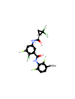 CNc1ccc(F)c(NC(=O)c2cc(NC(=O)[C@H]3CC3(Cl)Cl)cc(F)c2Cl)c1F